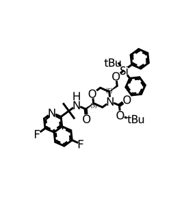 CC(C)(C)OC(=O)N1C[C@@H](C(=O)NC(C)(C)c2ncc(F)c3ccc(F)cc23)OC[C@H]1CO[Si](c1ccccc1)(c1ccccc1)C(C)(C)C